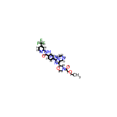 CCOCC(=O)N1CCO[C@@H](C2=C3C=NC=C[N+]3(N)C(c3ccc(C(=O)Nc4cc(C(F)(F)F)ccn4)cc3)=N2)C1